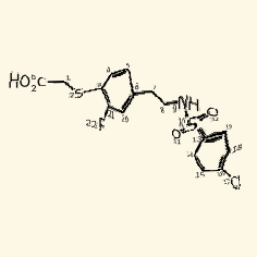 O=C(O)CSc1ccc(CCNS(=O)(=O)c2ccc(Cl)cc2)cc1F